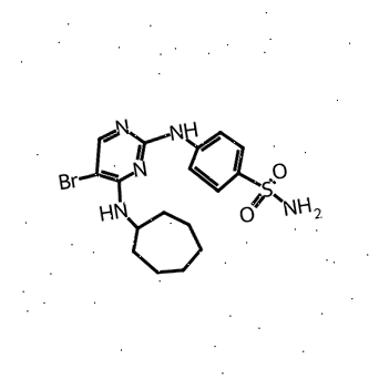 NS(=O)(=O)c1ccc(Nc2ncc(Br)c(NC3CCCCCC3)n2)cc1